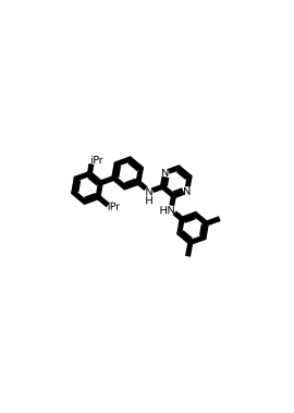 Cc1cc(C)cc(Nc2nccnc2Nc2cccc(-c3c(C(C)C)cccc3C(C)C)c2)c1